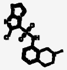 CN1CCc2cccc(NS(=O)(=O)c3c(Cl)nc4sccn34)c2C1